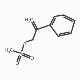 C=C(CSS(C)(=O)=O)c1ccccc1